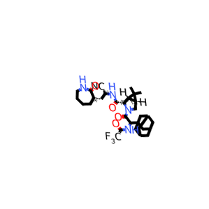 CC1(C)[C@@H]2[C@@H](C(=O)N[C@H](C#N)C[C@@H]3CCCCNC3=O)N(C(=O)C(NC(=O)C(F)(F)F)C34CC5CC(CC(C5)C3)C4)C[C@@H]21